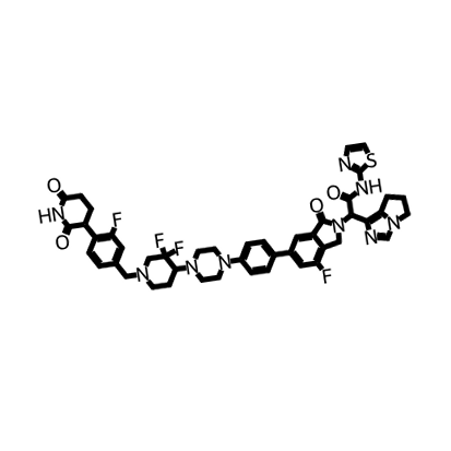 O=C1CCC(c2ccc(CN3CCC(N4CCN(c5ccc(-c6cc(F)c7c(c6)C(=O)N(C(C(=O)Nc6nccs6)c6ncn8c6CCC8)C7)cc5)CC4)C(F)(F)C3)cc2F)C(=O)N1